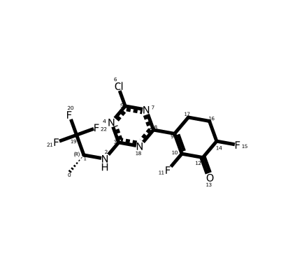 C[C@@H](Nc1nc(Cl)nc(C2=C(F)C(=O)C(F)CC2)n1)C(F)(F)F